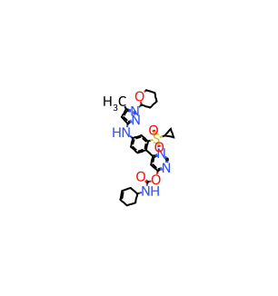 Cc1cc(Nc2ccc(-c3cc(OC(=O)NC4CC=CCC4)ncn3)c(S(=O)(=O)C3CC3)c2)nn1C1CCCCO1